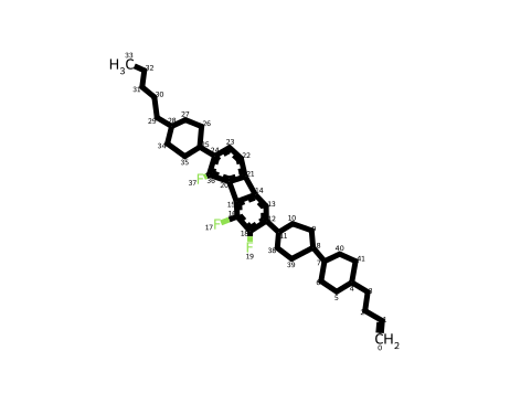 C=CCCC1CCC(C2CCC(c3cc4c(c(F)c3F)-c3c-4ccc(C4CCC(CCCCC)CC4)c3F)CC2)CC1